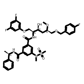 CO[C@@H](COCc1ccc(F)cc1)C[C@H](O)[C@H](COc1cc(F)cc(F)c1)NC(=O)c1cc(C(=O)N[C@H](C)c2ccccc2)cc(N(C)S(C)(=O)=O)c1